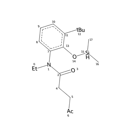 CCN(C(=O)CCC(C)=O)c1cccc(C(C)(C)C)c1O[SiH](C)C